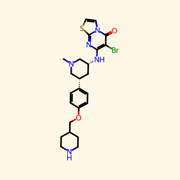 CN1C[C@H](Nc2nc3sccn3c(=O)c2Br)C[C@H](c2ccc(OCC3CCNCC3)cc2)C1